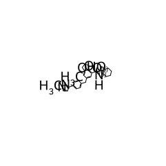 Cc1c(Cc2ccc(-c3ccn(C)n3)cc2)cc(C(=O)N[C@H]2CCCC[C@@H]2O)c2c1OCO2